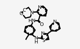 Cc1ccc(NC(=O)c2cccnc2N2CCOCC2)cc1Nc1nc(-c2cccnc2)cs1